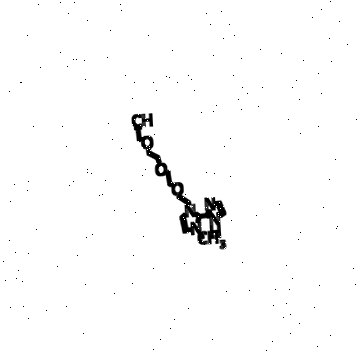 C#CCOCCOCCOCCN1C=CN(C)C1c1ncc[nH]1